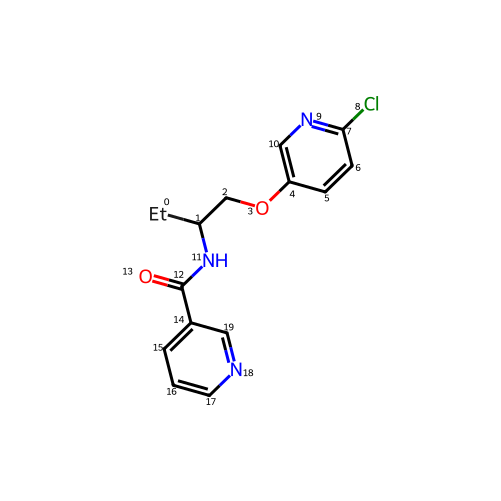 [CH2]CC(COc1ccc(Cl)nc1)NC(=O)c1cccnc1